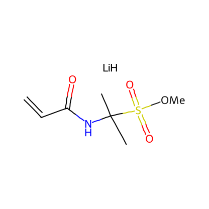 C=CC(=O)NC(C)(C)S(=O)(=O)OC.[LiH]